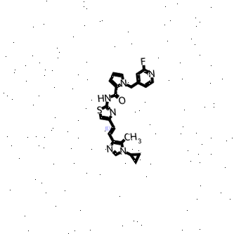 Cc1c(/C=C/c2csc(NC(=O)c3cccn3Cc3ccnc(F)c3)n2)ncn1C1CC1